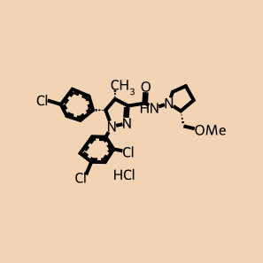 COC[C@H]1CCCN1NC(=O)C1=NN(c2ccc(Cl)cc2Cl)[C@H](c2ccc(Cl)cc2)[C@@H]1C.Cl